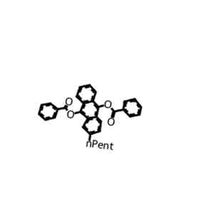 CCCCCc1ccc2c(OC(=O)c3ccccc3)c3ccccc3c(OC(=O)c3ccccc3)c2c1